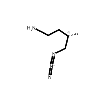 C[C@@H](CCN)CN=[N+]=[N-]